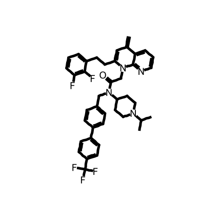 C=C1C=C(CCc2cccc(F)c2F)N(CC(=O)N(Cc2ccc(-c3ccc(C(F)(F)F)cc3)cc2)C2CCN(C(C)C)CC2)c2ncccc21